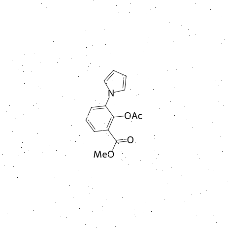 COC(=O)c1cccc(-n2cccc2)c1OC(C)=O